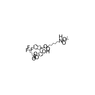 CC(C)(C)OC(=O)NCCCCCCC(=O)OC[C@@H]1Cc2ccccc2C1c1cc(OS(=O)(=O)CCCC(F)(F)F)ccc1O